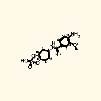 COc1cc(C(=O)N[C@H]2CC[C@H](OP(=O)(O)O)CC2)ccc1N